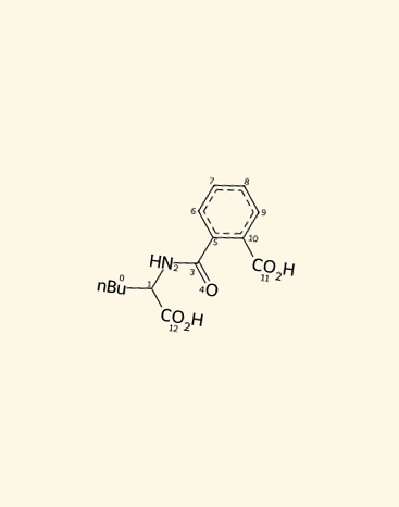 CCCCC(NC(=O)c1ccccc1C(=O)O)C(=O)O